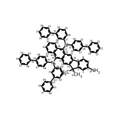 CC1(C)c2cc(N)ccc2-c2cc3c(N(c4ccc(-c5ccccc5)cc4)c4cccc(-c5ccccc5)c4)c4ccccc4c(N(c4ccc(-c5ccccc5)cc4)c4cccc(-c5ccccc5)c4)c3cc21